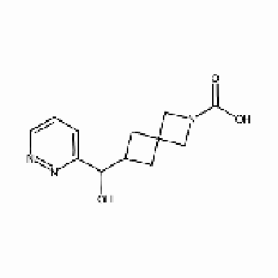 O=C(O)N1CC2(CC(C(O)c3cccnn3)C2)C1